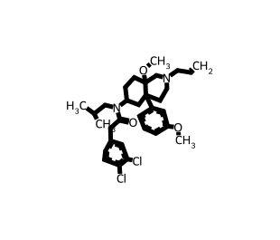 C=CCN1CCC2(c3cccc(OC)c3)CC(N(CC(C)C)C(=O)Cc3ccc(Cl)c(Cl)c3)CCC2(OC)C1